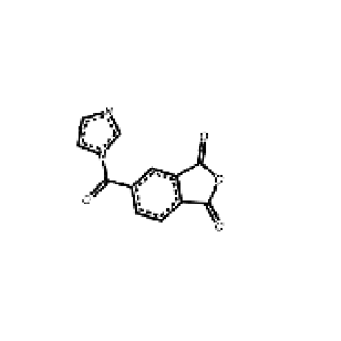 O=C1OC(=O)c2cc(C(=O)n3ccnc3)ccc21